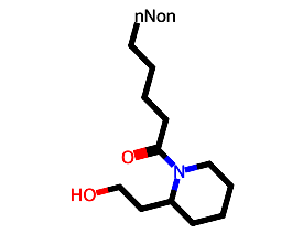 CCCCCCCCCCCCCC(=O)N1CCCCC1CCO